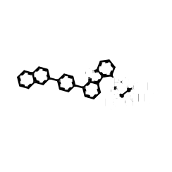 CC1(C)OB(c2cccc3oc4c(-c5ccc(-c6ccc7ccccc7c6)cc5)cccc4c23)OC1(C)C